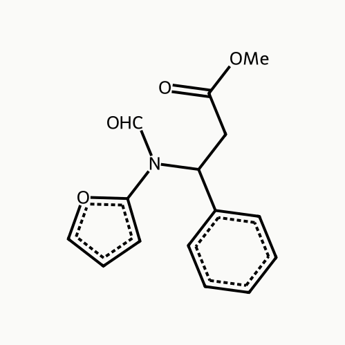 COC(=O)CC(c1ccccc1)N(C=O)c1ccco1